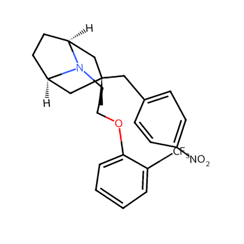 C[C@@]1(Cc2ccc([N+](=O)[O-])cc2)C[C@H]2CC[C@@H](C1)N2CCOc1ccccc1C(F)(F)F